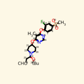 Cc1c(Oc2ccc(S(C)(=O)=O)cc2F)ncnc1OC1CCN(C(CC=O)OC(C)(C)C)CC1